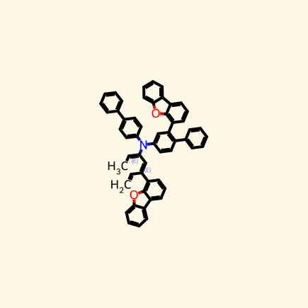 C=C/C(=C\C(=C/C)N(c1ccc(-c2ccccc2)cc1)c1ccc(-c2ccccc2)c(-c2cccc3c2oc2ccccc23)c1)c1cccc2c1oc1ccccc12